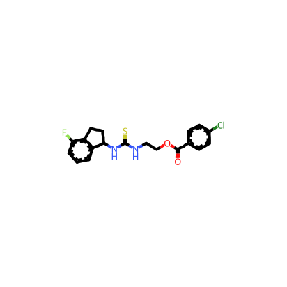 O=C(OCCNC(=S)NC1CCc2c(F)cccc21)c1ccc(Cl)cc1